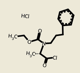 CCOC(=O)N(CCCc1ccccc1)[C@@H](C)C(=O)Cl.Cl